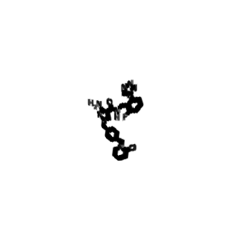 Nc1nn(Cc2ccc(Cn3ccccc3=O)cc2)cc1C(=O)NCc1c(F)cccc1-n1cnnn1